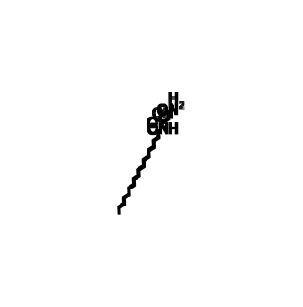 CCCCCCCCC=CCCCCCCCC(=O)NC(CC(N)=O)C(=O)O